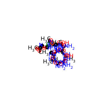 COc1cc2nccc(Oc3ccc(N/C(=N/c4cc(C)on4)[S+]([O-])Cc4ccc(C(=O)N[C@H](C(=O)N[C@@H](CCN)C(=O)N[C@H]5CCNC(=O)[C@H]([C@@H](C)O)NC(=O)[C@H](CCN)NC(=O)C(CCN)NC(=O)[C@H](CC(C)C)NC(=O)[C@@H](Cc6ccccc6)NC(=O)[C@H](CCN)NC5=O)[C@@H](C)O)cc4)c(Cl)c3)c2cc1OC